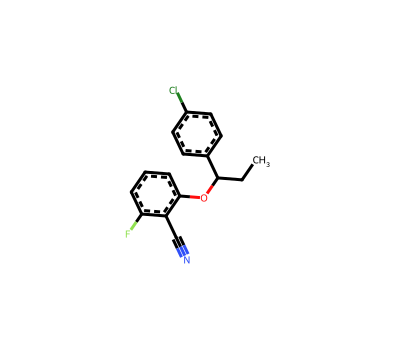 CCC(Oc1cccc(F)c1C#N)c1ccc(Cl)cc1